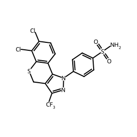 NS(=O)(=O)c1ccc(-n2nc(C(F)(F)F)c3c2-c2ccc(Cl)c(Cl)c2SC3)cc1